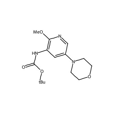 COc1ncc(N2CCOCC2)cc1NC(=O)OC(C)(C)C